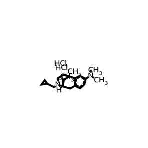 C[C@@H]1[C@H]2Cc3ccc(N(C)C)cc3[C@]1(C)CCN2CC1CC1.Cl.Cl